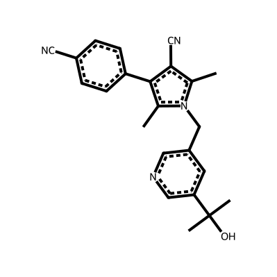 Cc1c(C#N)c(-c2ccc(C#N)cc2)c(C)n1Cc1cncc(C(C)(C)O)c1